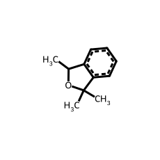 CC1OC(C)(C)c2ccccc21